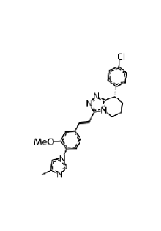 COc1cc(C=Cc2nnc3n2CCC[C@H]3c2ccc(Cl)cc2)ccc1-n1cnc(C)c1